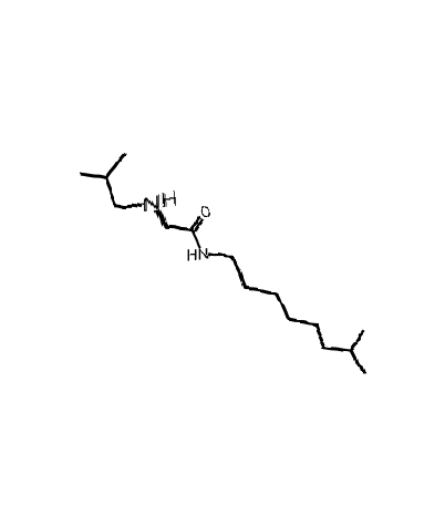 CC(C)CCCCCCNC(=O)CNCC(C)C